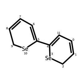 C1=CC[Se]C(C2=CC=CC[Se]2)=C1